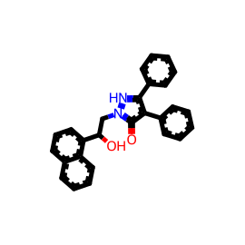 O=c1c(-c2ccccc2)c(-c2ccccc2)[nH]n1CC(O)c1cccc2ccccc12